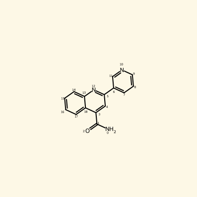 NC(=O)c1cc(-c2cccnc2)nc2ccccc12